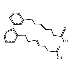 O=C(O)CCC=CCCc1ccccc1.O=C(O)CCC=CCCc1ccccc1